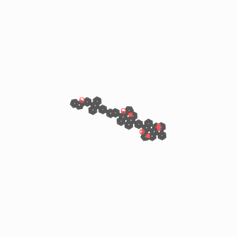 c1ccc(-c2ccccc2-c2c3ccccc3c(-c3c4ccccc4c(-c4ccc(-c5c6ccccc6c(-c6c7ccccc7c(-c7ccc8cc(-c9ccc(-c%10c%11ccccc%11c(-c%11ccc%12oc%13c%14ccccc%14ccc%13c%12c%11)c%11ccccc%10%11)cc9)ccc8c7)c7oc8ccccc8c67)c6ccccc56)cc4)c4oc5ccccc5c34)c3ccccc23)cc1